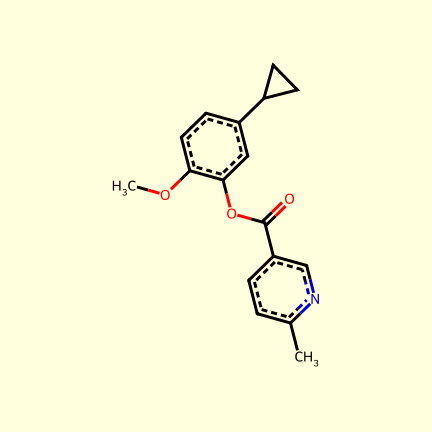 COc1ccc(C2CC2)cc1OC(=O)c1ccc(C)nc1